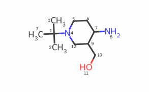 CC(C)(C)N1CCC(N)C(CO)C1